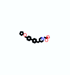 COC(=O)CN1CCC(Cc2ccc(-c3ccc(COC4CCCC4)cc3)cc2)CC1